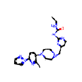 CCNC(=O)Nc1nccc(CN2CCN(c3ccc(-n4cccn4)nc3C)CC2)n1